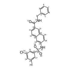 O=C(NCc1ccccc1)c1ccc2cc(NS(=O)(=O)c3cc(Cl)cc(I)c3)ccc2c1